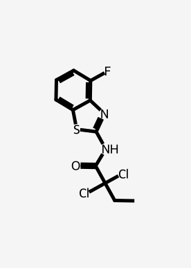 CCC(Cl)(Cl)C(=O)Nc1nc2c(F)cccc2s1